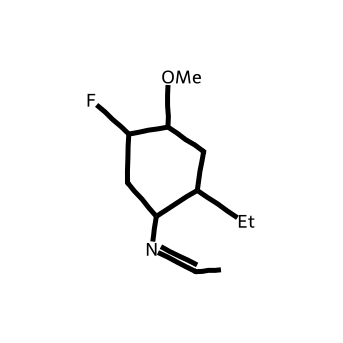 C/C=N\C1CC(F)C(OC)CC1CC